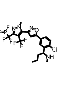 CCCC(NC)c1cc(-c2cc(-c3c(C(F)(F)F)c(C(F)(F)P(F)F)nn3C)no2)ccc1Cl